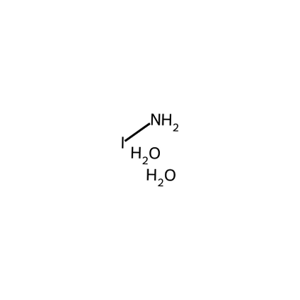 NI.O.O